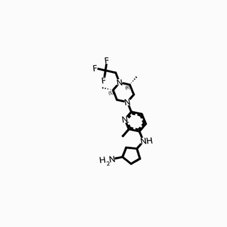 Cc1nc(N2C[C@@H](C)N(CC(F)(F)F)[C@@H](C)C2)ccc1NC1CCC(N)C1